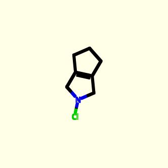 ClN1CC2=C(CCC2)C1